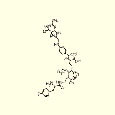 CCC(C(C)CCC(NC(O)C1=CCC(NCCNC2N=C(N)NC(=O)C2N)C=C1)C(=O)O)C(CCNC(=O)C(N)CC1C=CC(F)=CC1)C(O)O